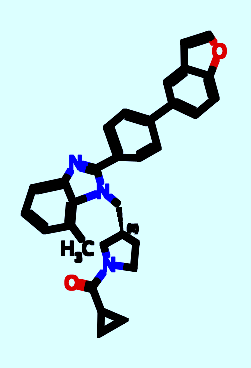 Cc1cccc2nc(-c3ccc(-c4ccc5occc5c4)cc3)n(C[C@@H]3CCN(C(=O)C4CC4)C3)c12